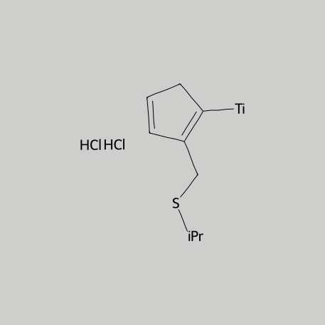 CC(C)SCC1=[C]([Ti])CC=C1.Cl.Cl